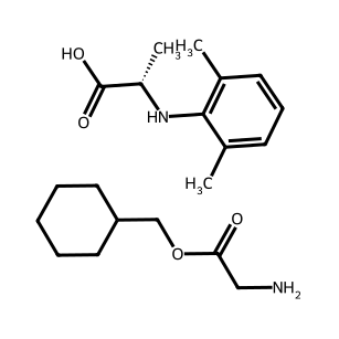 Cc1cccc(C)c1N[C@@H](C)C(=O)O.NCC(=O)OCC1CCCCC1